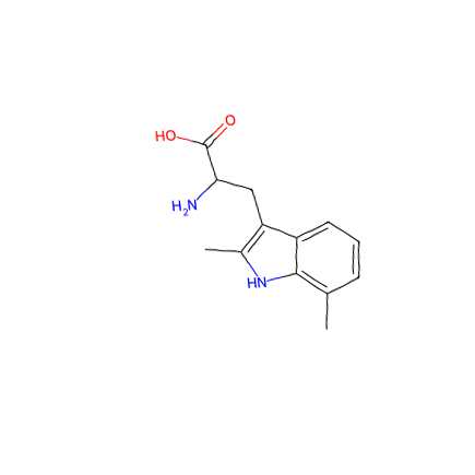 Cc1[nH]c2c(C)cccc2c1CC(N)C(=O)O